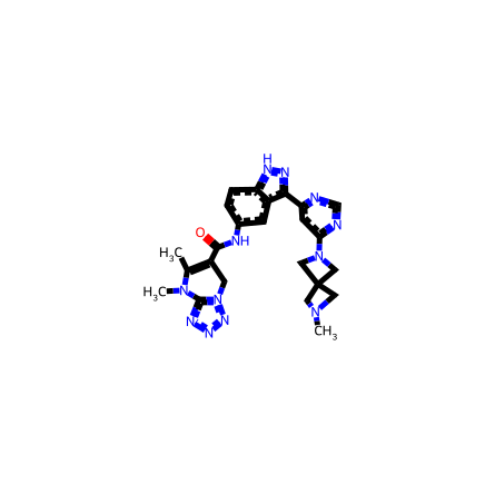 CC1=C(C(=O)Nc2ccc3[nH]nc(-c4cc(N5CC6(CN(C)C6)C5)ncn4)c3c2)Cn2nnnc2N1C